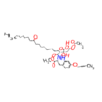 CC#CCOc1ccc(C[C@H](NC(=O)[C@@H](/C=C/CCCCCCC(=O)CCCCCCC)[C@@](O)(CCOC(C)=O)C(=O)O)C(=O)OC)cc1